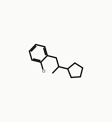 CC(Cc1ccccc1Cl)[C]1CCCC1